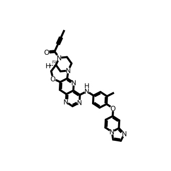 CC#CC(=O)N1CCN2C[C@H]1COc1cc3ncnc(Nc4ccc(Oc5ccn6ccnc6c5)c(C)c4)c3nc12